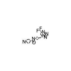 CN(C)c1ccc(C(=O)N(C)C2CC(=Cc3cc(C(F)F)nc4ncnn34)C2)cc1